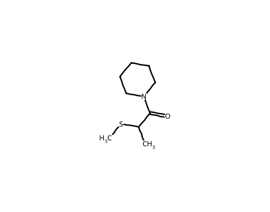 CSC(C)C(=O)N1CCCCC1